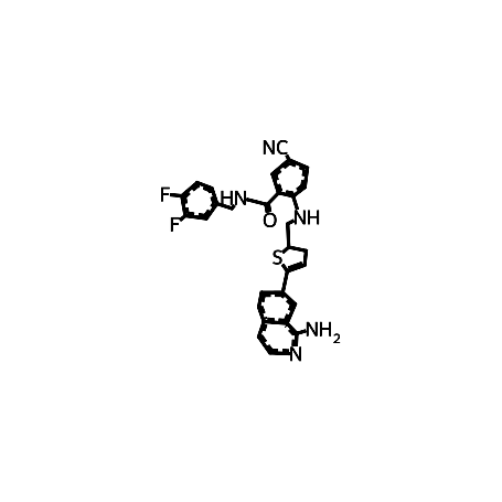 N#Cc1ccc(NCC2CC=C(c3ccc4ccnc(N)c4c3)S2)c(C(=O)NCc2ccc(F)c(F)c2)c1